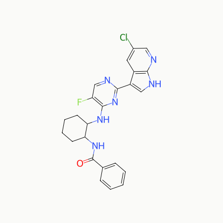 O=C(NC1CCCCC1Nc1nc(-c2c[nH]c3ncc(Cl)cc23)ncc1F)c1ccccc1